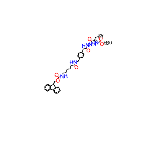 CC(C)C[C@@H](NC(=O)OC(C)(C)C)C(=O)NNC(=O)Cc1ccc(CNC(=O)CCCCCNC(=O)OCC2c3ccccc3-c3ccccc32)cc1